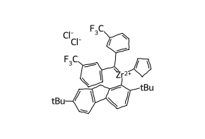 CC(C)(C)c1ccc2c(c1)Cc1c-2ccc(C(C)(C)C)[c]1[Zr+2]([C]1=CC=CC1)=[C](c1cccc(C(F)(F)F)c1)c1cccc(C(F)(F)F)c1.[Cl-].[Cl-]